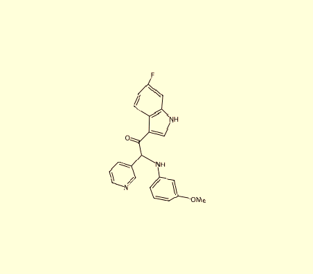 COc1cccc(NC(C(=O)c2c[nH]c3cc(F)ccc23)c2cccnc2)c1